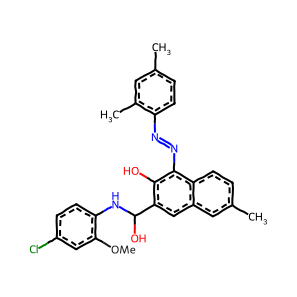 COc1cc(Cl)ccc1NC(O)c1cc2cc(C)ccc2c(N=Nc2ccc(C)cc2C)c1O